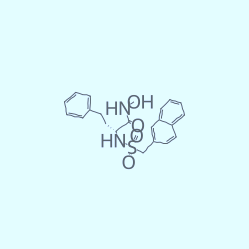 O=C(NO)[C@@H](CCc1ccccc1)NS(=O)(=O)Cc1ccc2ccccc2c1